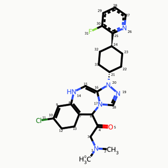 CN(C)CC(=O)C1C2=C(C=C(Cl)CC2)NC=C2N1C=NN2[C@H]1CC[C@H](c2ncccc2F)CC1